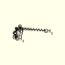 CCCCCCCCCCCCCCCCCCNC(=O)[C@@H]1CSC(c2cccc(NC(C)=O)c2)N1